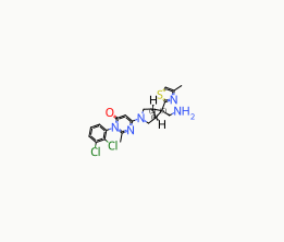 Cc1csc([C@]2(CN)[C@@H]3CN(c4cc(=O)n(-c5cccc(Cl)c5Cl)c(C)n4)C[C@@H]32)n1